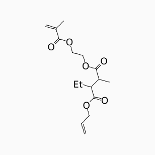 C=CCOC(=O)C(CC)C(C)C(=O)OCCOC(=O)C(=C)C